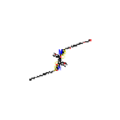 CCCCCCCCCCCCCCCCCCc1cc2c(s1)c1sc3c(c1n2C)C(CCCC)(CCCC)c1cc2c(cc1-3)C(CCCC)(CCCC)c1c-2sc2c3sc(CCCCCCCCCCCCCCCCCC)cc3n(C)c12